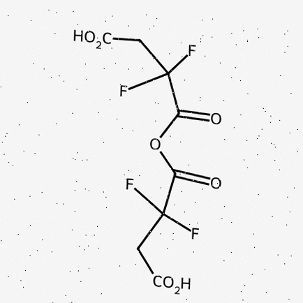 O=C(O)CC(F)(F)C(=O)OC(=O)C(F)(F)CC(=O)O